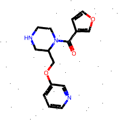 O=C(c1ccoc1)N1CCNCC1COc1cccnc1